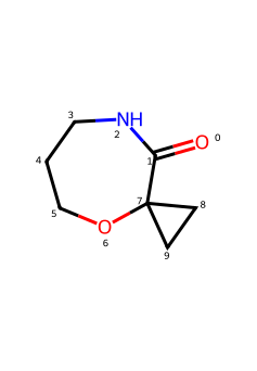 O=C1NCCCOC12CC2